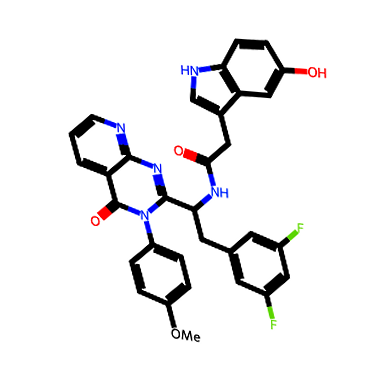 COc1ccc(-n2c(C(Cc3cc(F)cc(F)c3)NC(=O)Cc3c[nH]c4ccc(O)cc34)nc3ncccc3c2=O)cc1